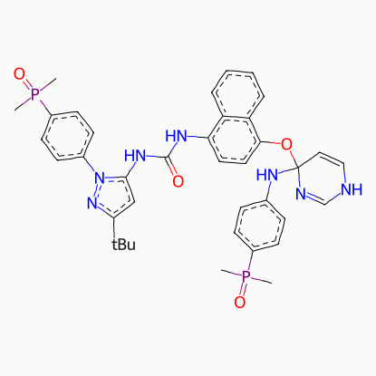 CC(C)(C)c1cc(NC(=O)Nc2ccc(OC3(Nc4ccc(P(C)(C)=O)cc4)C=CNC=N3)c3ccccc23)n(-c2ccc(P(C)(C)=O)cc2)n1